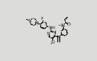 C=CC(=O)Nc1cccc(Nc2nc(Nc3ccc(N4CCN(C)CC4)c(F)c3)ncc2OC)c1